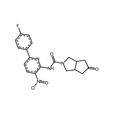 O=C1CC2CN(C(=O)Nc3nc(-c4ccc(F)cc4)ccc3[N+](=O)[O-])CC2C1